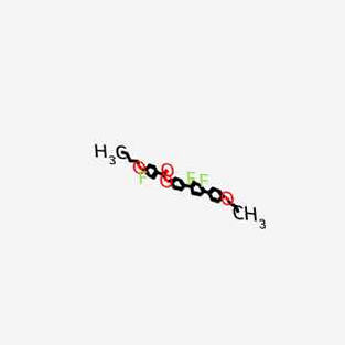 CCCCOc1ccc(C(=O)Oc2ccc(-c3ccc(-c4ccc(OCCC)cc4)c(F)c3F)cc2)cc1F